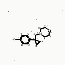 Ic1ccc(C2(CN3CCOCC3)CC2)cc1